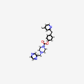 Cc1ccnc(Cc2ccc(OC(=O)N3CCN(Cc4cnccn4)CC3)cc2)c1